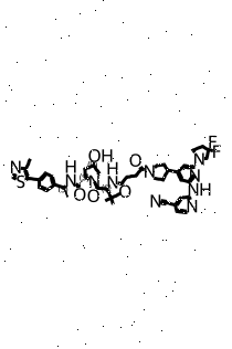 Cc1ncsc1-c1ccc([C@H](C)NC(=O)[C@@H]2C[C@@H](O)CN2C(=O)[C@@H](NC(=O)CCC(=O)N2CCC(c3cc(Nc4cc(C#N)ccn4)nc(N4CCC(F)(F)C4)c3)CC2)C(C)(C)C)cc1